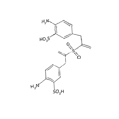 C=C(Cc1ccc(N)c(S(=O)(=O)O)c1)S(=O)(=O)C(=C)Cc1ccc(N)c(S(=O)(=O)O)c1